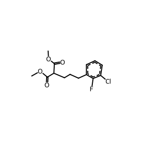 COC(=O)C(CCCc1cccc(Cl)c1F)C(=O)OC